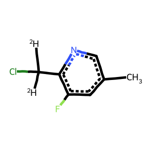 [2H]C([2H])(Cl)c1ncc(C)cc1F